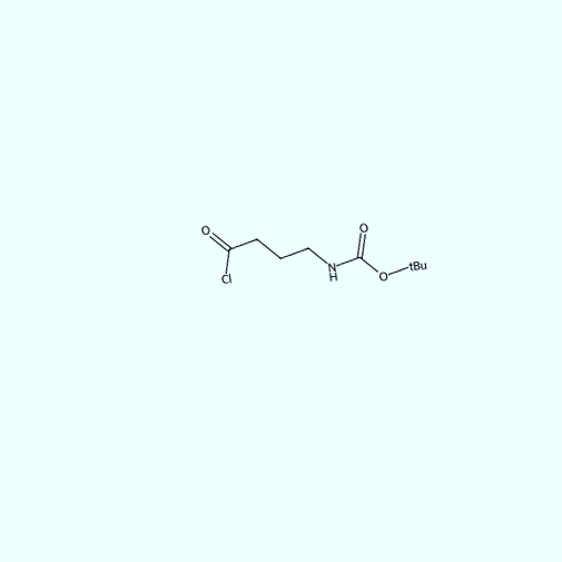 CC(C)(C)OC(=O)NCCCC(=O)Cl